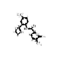 CCC(Pc1ccc(C(F)(F)F)cc1C1=NCCO1)c1ccc(C(F)(F)F)c(F)c1